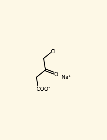 O=C([O-])CC(=O)CCl.[Na+]